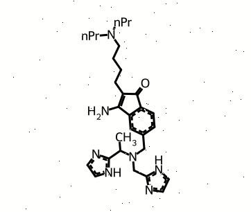 CCCN(CCC)CCCCC1=C(N)c2cc(CN(Cc3ncc[nH]3)C(C)c3ncc[nH]3)ccc2C1=O